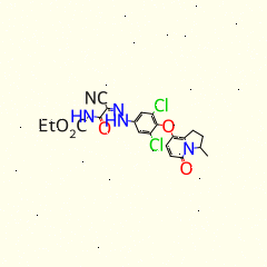 CCOC(=O)NC(=O)C(C#N)=NNc1cc(Cl)c(Oc2ccc(=O)n3c2CCC3C)c(Cl)c1